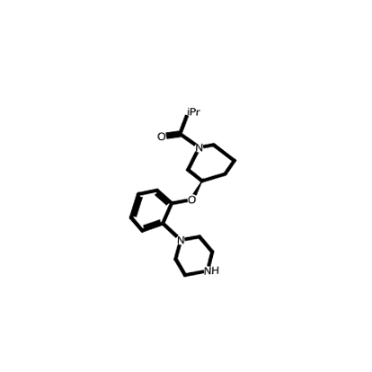 CC(C)C(=O)N1CCC[C@@H](Oc2ccccc2N2CCNCC2)C1